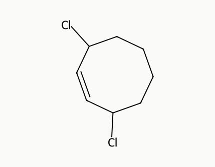 ClC1/C=C\C(Cl)CCCC1